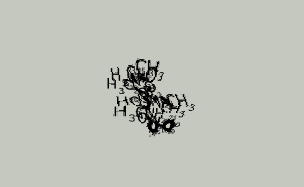 CC(C)C[C@H](NC(=O)[C@@H](NC(=O)c1cccc(-c2ccccc2)n1)[C@@H](C)O)B1OC[C@@H](C)N(C)[C@@H](C)C(=O)O1